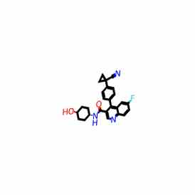 N#CC1(c2ccc(-c3c(C(=O)N[C@H]4CC[C@H](O)CC4)cnc4ccc(F)cc34)cc2)CC1